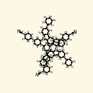 N#Cc1ccc(-c2ccc(-c3nc(-c4ccc(-c5cccc(C#N)c5)cc4)nc(-c4ccc(-c5ccc(C#N)cc5)cc4-n4c5ccc(-c6ccccc6)cc5c5cc(-c6ccccc6)ccc54)n3)c(-n3c4ccc(-c5ccccc5)cc4c4cc(-c5ccccc5)ccc43)c2)cc1